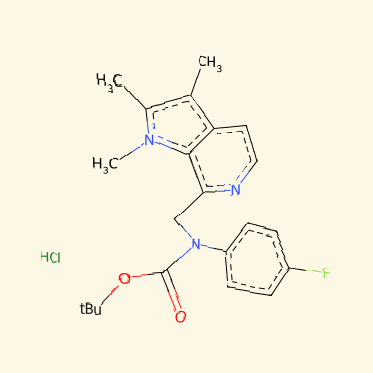 Cc1c(C)n(C)c2c(CN(C(=O)OC(C)(C)C)c3ccc(F)cc3)nccc12.Cl